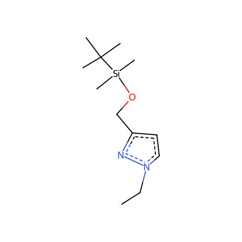 CCn1ccc(CO[Si](C)(C)C(C)(C)C)n1